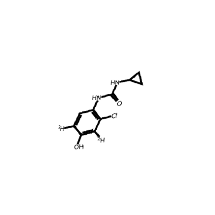 [2H]c1cc(NC(=O)NC2CC2)c(Cl)c([2H])c1O